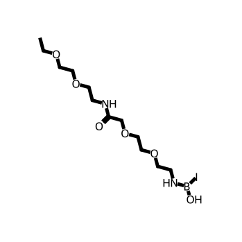 CCOCCOCCNC(=O)COCCOCCNB(O)I